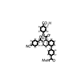 CNC(=O)c1ccc(-c2cccc3c2CCN(C(=O)c2ccc(C#N)cc2)C3C(=O)Nc2ccc(C(=O)O)cc2)cc1